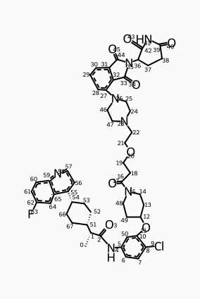 C[C@@H](C(=O)Nc1ccc(Cl)c(OC2CCN(C(=O)CCOCCN3CCN(c4cccc5c4C(=O)N(C4CCC(=O)NC4=O)C5=O)CC3)CC2)c1)[C@H]1CC[C@@H](c2ccnc3ccc(F)cc32)CC1